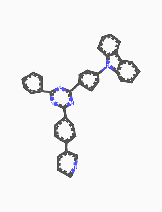 c1ccc(-c2nc(-c3ccc(-c4cccnc4)cc3)nc(-c3ccc(-n4c5ccccc5c5ccccc54)cc3)n2)cc1